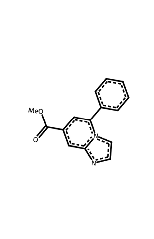 COC(=O)c1cc(-c2ccccc2)n2ccnc2c1